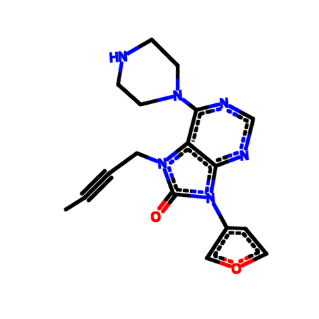 CC#CCn1c(=O)n(-c2ccoc2)c2ncnc(N3CCNCC3)c21